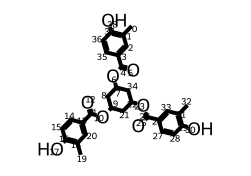 Cc1cc(C(=O)OC2CC(OC(=O)c3ccc(O)c(C)c3)CC(OC(=O)c3ccc(O)c(C)c3)C2)ccc1O